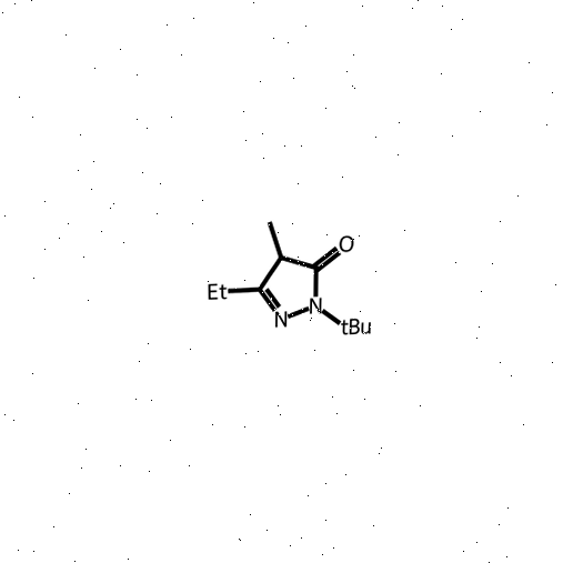 CCC1=NN(C(C)(C)C)C(=O)C1C